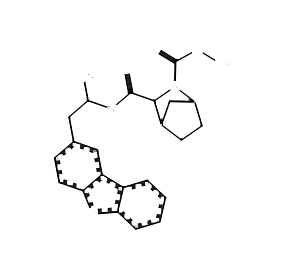 CC(C)(C)OC(=O)N1C2CCC(C2)C1C(=O)NC(C#N)Cc1ccc2oc3ccccc3c2c1